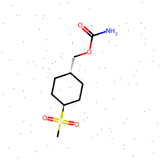 CS(=O)(=O)[C@H]1CC[C@H](COC(N)=O)CC1